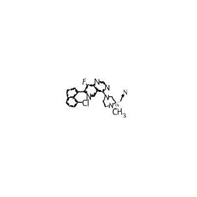 CN1CCN(c2ncnc3c(F)c(-c4cccc5cccc(Cl)c45)ncc23)C[C@@H]1CC#N